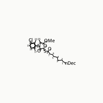 CCCCCCCCCCCCCCCCCC(=O)SCC(=O)N(c1c(C)ccc(Cl)c1C)C(C)C(=O)OC